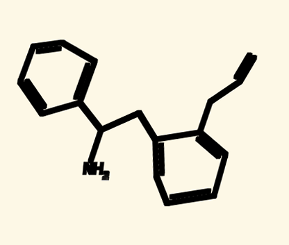 C=CCc1ccccc1CC(N)c1ccccc1